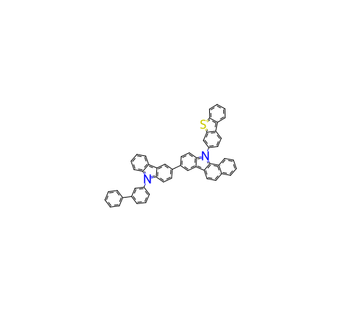 c1ccc(-c2cccc(-n3c4ccccc4c4cc(-c5ccc6c(c5)c5ccc7ccccc7c5n6-c5ccc6c(c5)sc5ccccc56)ccc43)c2)cc1